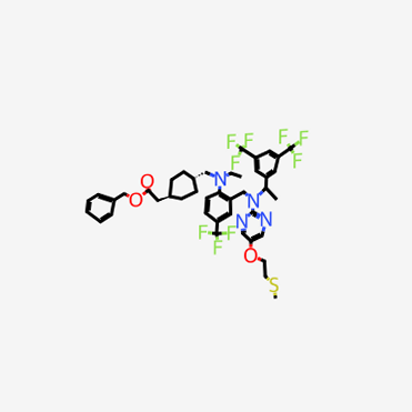 CCN(C[C@H]1CC[C@H](CC(=O)OCc2ccccc2)CC1)c1ccc(C(F)(F)F)cc1CN(c1ncc(OCCSC)cn1)C(C)c1cc(C(F)(F)F)cc(C(F)(F)F)c1